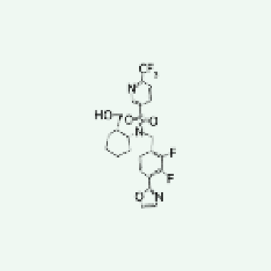 O=S(=O)(c1ccc(C(F)(F)F)nc1)N(Cc1ccc(-c2ncco2)c(F)c1F)[C@@H]1CCCC[C@H]1CO